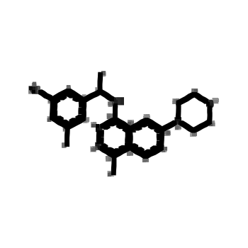 Cc1cc(C#N)cc(C(C)Nc2nnc(C)c3ccc(N4CCOCC4)cc23)c1